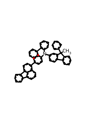 CC1(c2ccccc2)c2ccccc2-c2ccc(N(c3ccc(-c4ccc5c6c(cccc46)-c4ccccc4-5)cc3)c3ccccc3-c3ccccc3)cc21